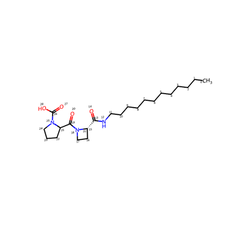 CCCCCCCCCCCCNC(=O)[C@@H]1CCN1C(=O)C1CCCN1C(=O)O